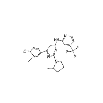 CC1CCCN1c1nc(Nc2cc(C(F)(F)F)ccn2)cc(-c2ccc(=O)n(C)c2)n1